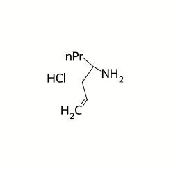 C=CCC(N)CCC.Cl